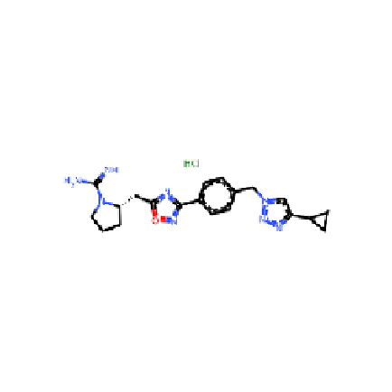 Cl.N=C(N)N1CCC[C@H]1Cc1nc(-c2ccc(Cn3cc(C4CC4)nn3)cc2)no1